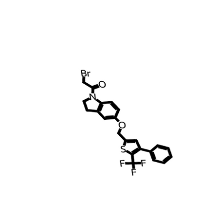 O=C(CBr)N1CCc2cc(OCc3cc(-c4ccccc4)c(C(F)(F)F)s3)ccc21